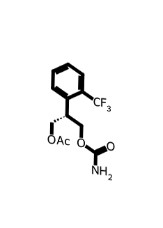 CC(=O)OC[C@@H](COC(N)=O)c1ccccc1C(F)(F)F